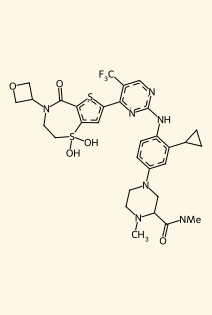 CNC(=O)C1CN(c2ccc(Nc3ncc(C(F)(F)F)c(-c4cc5c(s4)C(=O)N(C4COC4)CCS5(O)O)n3)c(C3CC3)c2)CCN1C